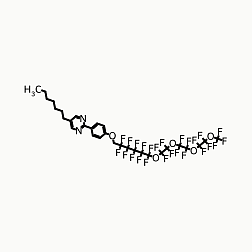 CCCCCCCc1cnc(-c2ccc(OCC(F)(F)C(F)(F)C(F)(F)C(F)(F)C(F)(F)OC(F)(F)C(F)(F)OC(F)(F)C(F)(F)OC(F)(F)C(F)(F)OC(F)(F)F)cc2)nc1